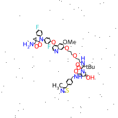 COc1cc2c(Oc3ccc(N(C(=O)C4(C(N)=O)CC4)c4ccc(F)cc4)cc3F)ccnc2cc1OCCCOCCC(=O)N[C@H](C(=O)N1C[C@H](O)C[C@H]1C(=O)NCc1ccc(-c2scnc2C)cc1)C(C)(C)C